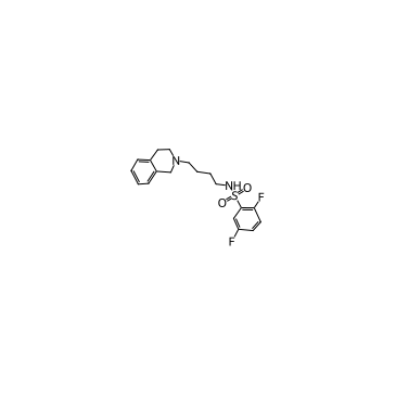 O=S(=O)(NCCCCN1CCc2ccccc2C1)c1cc(F)ccc1F